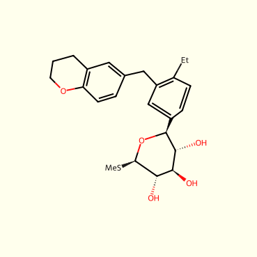 CCc1ccc([C@@H]2O[C@H](SC)[C@@H](O)[C@H](O)[C@H]2O)cc1Cc1ccc2c(c1)CCCO2